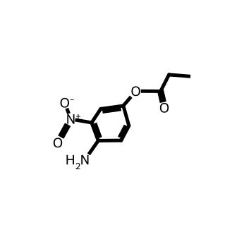 CCC(=O)Oc1ccc(N)c([N+](=O)[O-])c1